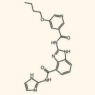 CCCCOc1cncc(C(=O)Nc2nc3c(C(=O)Nc4ncc[nH]4)cccc3[nH]2)c1